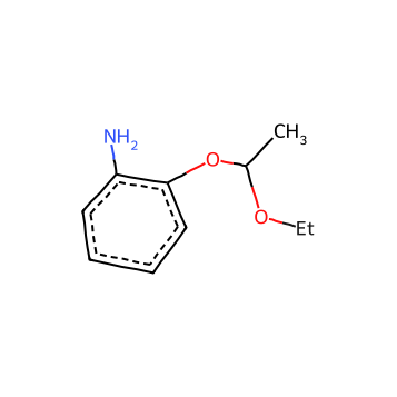 CCOC(C)Oc1ccccc1N